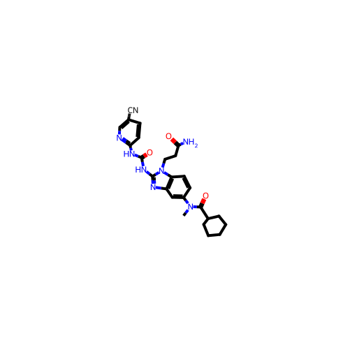 CN(C(=O)C1CCCCC1)c1ccc2c(c1)nc(NC(=O)Nc1ccc(C#N)cn1)n2CCC(N)=O